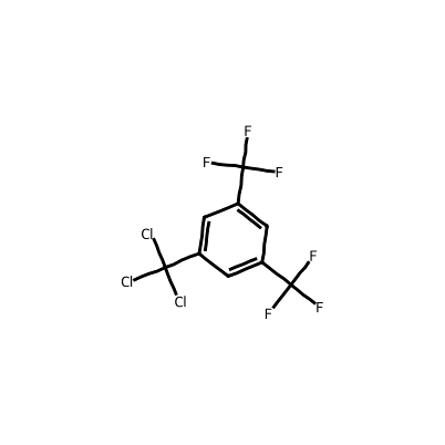 FC(F)(F)c1cc(C(F)(F)F)cc(C(Cl)(Cl)Cl)c1